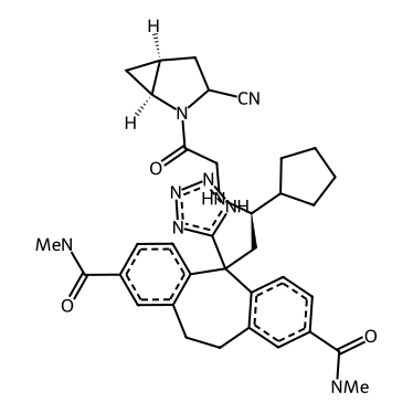 CNC(=O)c1ccc2c(c1)CCc1cc(C(=O)NC)ccc1C2(C[C@@H](NCC(=O)N1C(C#N)C[C@@H]2C[C@@H]21)C1CCCC1)c1nnn[nH]1